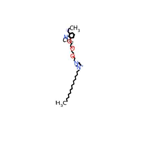 C=Nc1c(/C=C\C)cccc1OCCOCCOCCn1cc[n+](CCCCCCCCCCCCCCCC)c1